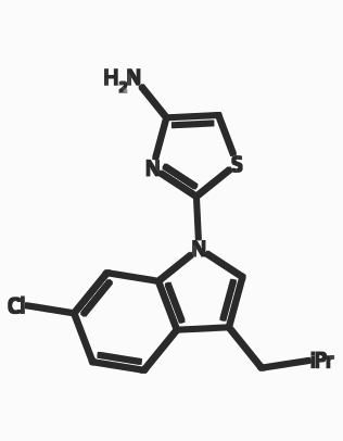 CC(C)Cc1cn(-c2nc(N)cs2)c2cc(Cl)ccc12